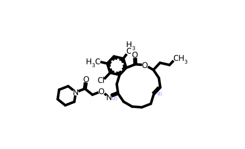 CCCC1C/C=C/CCCC/C(=N/OCC(=O)N2CCCCC2)Cc2c(Cl)c(C)cc(C)c2C(=O)O1